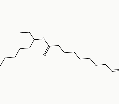 C=CCCCCCCCC(=O)OC(CC)CCCCC